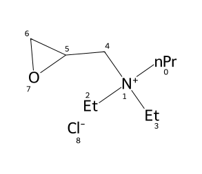 CCC[N+](CC)(CC)CC1CO1.[Cl-]